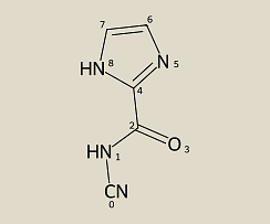 N#CNC(=O)c1ncc[nH]1